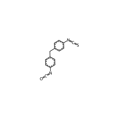 O=C=Nc1ccc(Cc2ccc(N=C=S)cc2)cc1